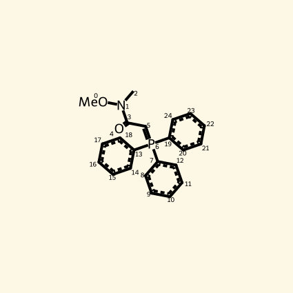 CON(C)C(=O)C=P(c1ccccc1)(c1ccccc1)c1ccccc1